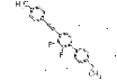 CCc1ccc(-c2ccc(C#Cc3ccc(C)cc3)c(F)c2F)cc1